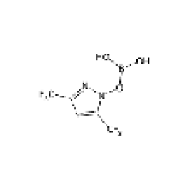 OB(O)On1nc(C(F)(F)F)cc1C(F)(F)F